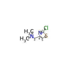 CN(C)Cc1csc(Cl)n1